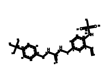 C=Cc1cc(CNC(=S)NCc2ccc(C(C)(C)C)cc2)ccc1NS(C)(=O)=O